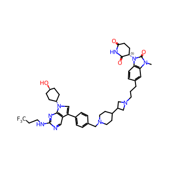 Cn1c(=O)n([C@H]2CCC(=O)NC2=O)c2ccc(CCCN3CC(C4CCN(Cc5ccc(-c6cn([C@H]7CC[C@H](O)CC7)c7nc(NCCC(F)(F)F)ncc67)cc5)CC4)C3)cc21